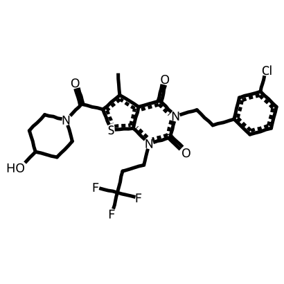 Cc1c(C(=O)N2CCC(O)CC2)sc2c1c(=O)n(CCc1cccc(Cl)c1)c(=O)n2CCC(F)(F)F